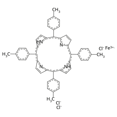 Cc1ccc(-c2c3nc(c(-c4ccc(C)cc4)c4ccc([nH]4)c(-c4ccc(C)cc4)c4nc(c(-c5ccc(C)cc5)c5ccc2[nH]5)C=C4)C=C3)cc1.[Cl-].[Cl-].[Cl-].[Fe+3]